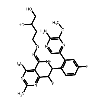 COc1nc(-c2cc(F)ccc2[C@@H]2N/C(=N\OCCC(O)CO)c3c(C)nc(N)nc3C2F)cnc1N